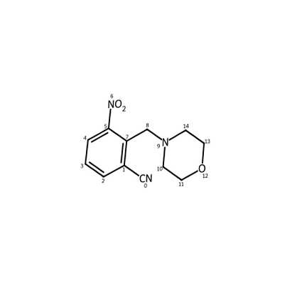 N#Cc1cccc([N+](=O)[O-])c1CN1CCOCC1